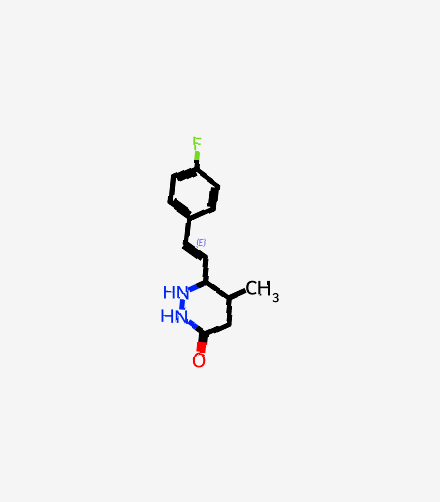 CC1CC(=O)NNC1/C=C/c1ccc(F)cc1